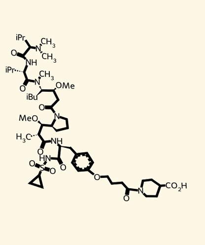 CC[C@H](C)[C@@H]([C@@H](CC(=O)N1CCC[C@H]1[C@H](OC)[C@@H](C)C(=O)N[C@@H](Cc1ccc(OCCCC(=O)N2CCC(C(=O)O)CC2)cc1)C(=O)NS(=O)(=O)C1CC1)OC)N(C)C(=O)[C@@H](NC(=O)C(C(C)C)N(C)C)C(C)C